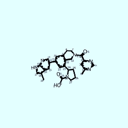 Cc1cc(C(=O)N2CCc3cc(-c4cnc5[nH]cc(C)c5c4)cc(C4CCCN4C(=O)O)c3C2)ncn1